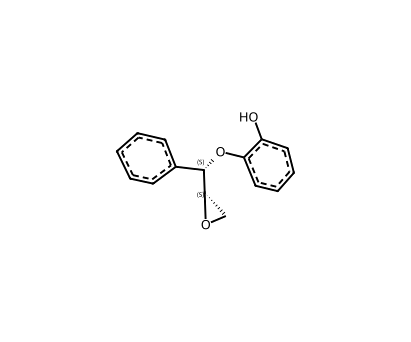 Oc1ccccc1O[C@@H](c1ccccc1)[C@@H]1CO1